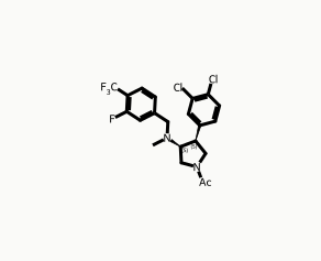 CC(=O)N1C[C@H](c2ccc(Cl)c(Cl)c2)[C@H](N(C)Cc2ccc(C(F)(F)F)c(F)c2)C1